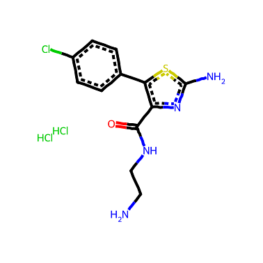 Cl.Cl.NCCNC(=O)c1nc(N)sc1-c1ccc(Cl)cc1